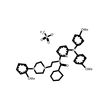 COc1ccc([S+](c2ccc(OC)cc2)c2cccc(N(CCN3CCN(c4ccccc4OC)CC3)C(=O)C3CCCCC3)n2)cc1.O=S(=O)([O-])C(F)(F)F